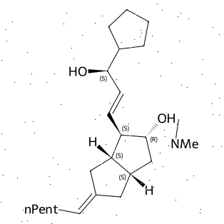 CCCCCC=C1C[C@H]2C[C@@H](O)[C@H](C=C[C@@H](O)C3CCCC3)[C@H]2C1.CNC